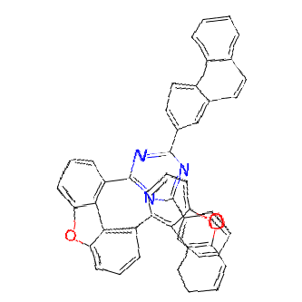 C1=Cc2oc3cccc(-c4cccc5oc6cccc(-c7nc(-c8ccccc8)nc(-c8ccc9c(ccc%10ccccc%109)c8)n7)c6c45)c3c2CC1